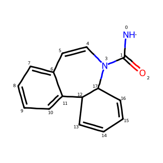 [NH]C(=O)N1C=Cc2ccccc2C2C=CC=CC21